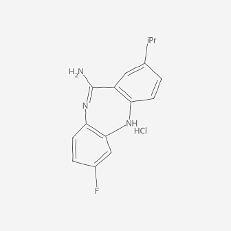 CC(C)c1ccc2c(c1)C(N)=Nc1ccc(F)cc1N2.Cl